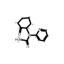 NC(=S)N(c1ccccn1)C1CCCCC1=O